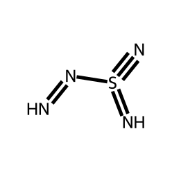 N#S(=N)N=N